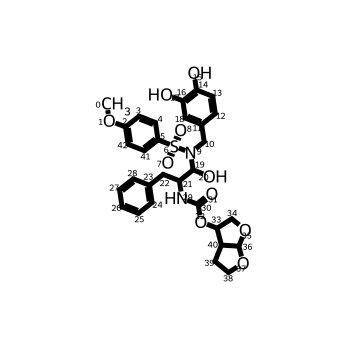 COc1ccc(S(=O)(=O)N(Cc2ccc(O)c(O)c2)C(O)C(Cc2ccccc2)NC(=O)OC2COC3OCCC23)cc1